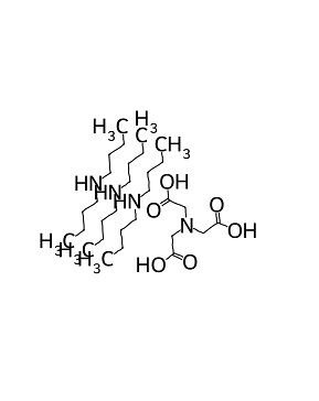 CCCCNCCCC.CCCCNCCCC.CCCCNCCCC.O=C(O)CN(CC(=O)O)CC(=O)O